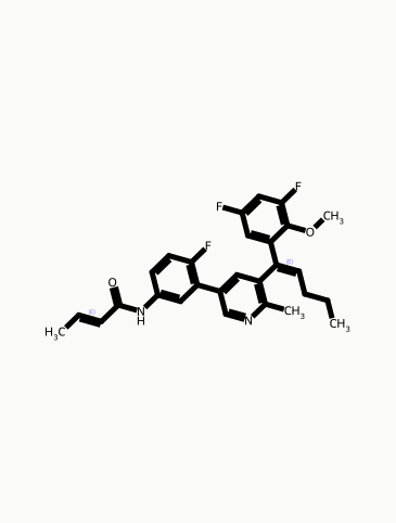 C/C=C/C(=O)Nc1ccc(F)c(-c2cnc(C)c(/C(=C\CCC)c3cc(F)cc(F)c3OC)c2)c1